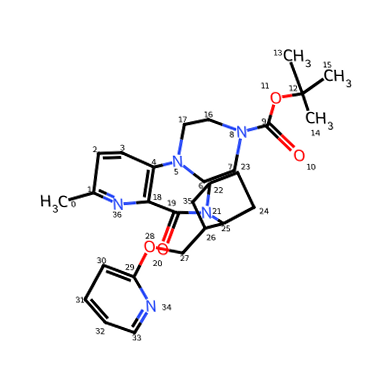 Cc1ccc(N2CCN(C(=O)OC(C)(C)C)CC2)c(C(=O)N2C3CCC2C(COc2ccccn2)C3)n1